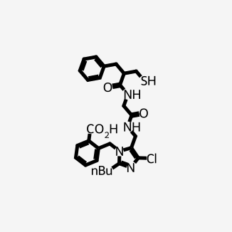 CCCCc1nc(Cl)c(CNC(=O)CNC(=O)C(CS)Cc2ccccc2)n1Cc1ccccc1C(=O)O